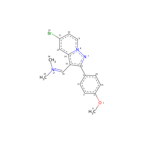 COc1ccc(-c2nn3ccc(Br)cc3c2C=[N+](C)C)cc1